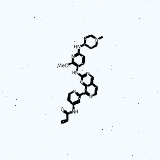 C=CC(=O)Nc1ccnc(-c2nccc3cnc(Nc4ccc(NC5CCN(C)CC5)nc4OC)nc23)c1